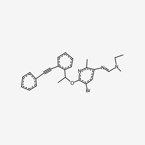 CCN(C)/C=N/c1cc(Br)c(OC(C)c2ccccc2C#Cc2ccccc2)nc1C